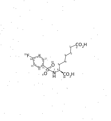 O=C(O)CCCCC[C@H](NS(=O)(=O)c1ccc(F)cc1)C(=O)O